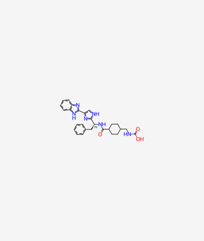 O=C(O)NCC1CCC(C(=O)N[C@@H](Cc2ccccc2)c2nc(-c3nc4ccccc4[nH]3)c[nH]2)CC1